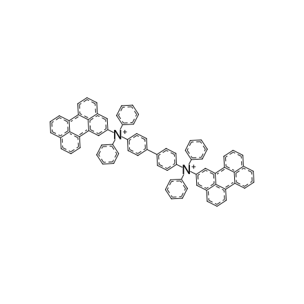 c1ccc([N+](c2ccccc2)(c2ccc(-c3ccc([N+](c4ccccc4)(c4ccccc4)c4cc5cccc6c7cccc8cccc(c(c4)c56)c87)cc3)cc2)c2cc3cccc4c5cccc6cccc(c(c2)c34)c65)cc1